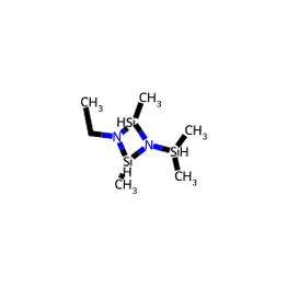 CCN1[SiH](C)N([SiH](C)C)[SiH]1C